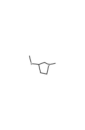 CSC1CCN(C)C1